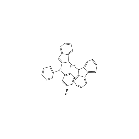 C1=C(P(c2ccccc2)c2ccccc2)[CH]([Hf+2][CH]2c3ccccc3-c3ccccc32)c2ccccc21.[F-].[F-]